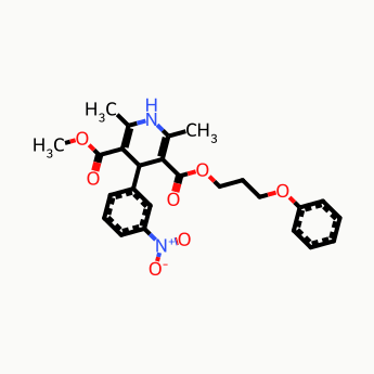 COC(=O)C1=C(C)NC(C)=C(C(=O)OCCCOc2ccccc2)C1c1cccc([N+](=O)[O-])c1